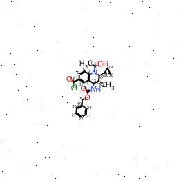 CC(O)N1c2ccc(C(=O)Cl)cc2C(NC(=O)OCc2ccccc2)[C@@H](C)[C@@H]1C1CC1